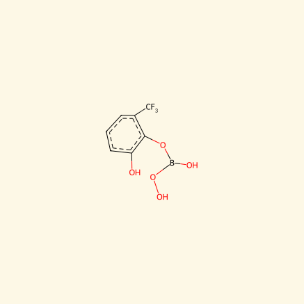 OOB(O)Oc1c(O)cccc1C(F)(F)F